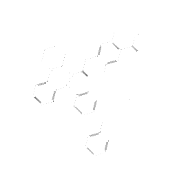 COc1cc(CC(=O)NN(c2ccc(Cc3ccccc3)cc2)c2c(C)cccc2N2CCCCC2)c(Br)cc1C(=O)O.Cl